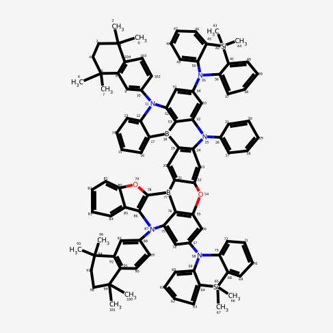 CC1(C)CCC(C)(C)c2cc(N3c4ccccc4B4c5cc6c(cc5N(c5ccccc5)c5cc(N7c8ccccc8[Si](C)(C)c8ccccc87)cc3c54)Oc3cc(N4c5ccccc5[Si](C)(C)c5ccccc54)cc4c3B6c3oc5ccccc5c3N4c3ccc4c(c3)C(C)(C)CCC4(C)C)ccc21